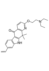 C=Cc1ccc2c3c([nH]c2c1)C(C)(C)c1nc(OCCN(CC)CC)ccc1C3=O